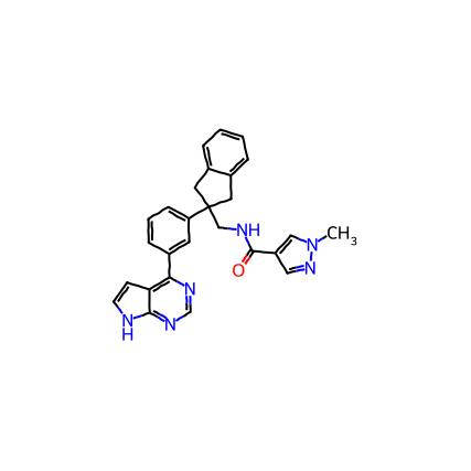 Cn1cc(C(=O)NCC2(c3cccc(-c4ncnc5[nH]ccc45)c3)Cc3ccccc3C2)cn1